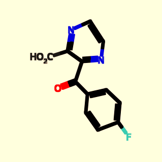 O=C(O)c1nccnc1C(=O)c1ccc(F)cc1